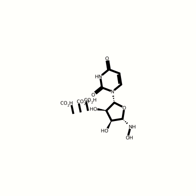 CC(=O)O.CC(=O)O.CC(=O)O.O=c1ccn([C@@H]2O[C@H](NO)[C@@H](O)[C@H]2O)c(=O)[nH]1